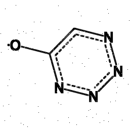 [O]c1cnnnn1